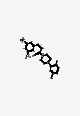 Cc1ccc(Cl)cc1N1CCN(C(=O)/C=C\c2cc(C(F)(F)F)cc(C(F)(F)F)c2)CC1